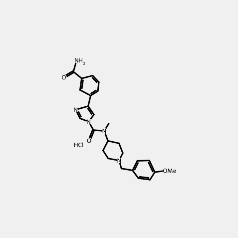 COc1ccc(CN2CCC(N(C)C(=O)n3cnc(-c4cccc(C(N)=O)c4)c3)CC2)cc1.Cl